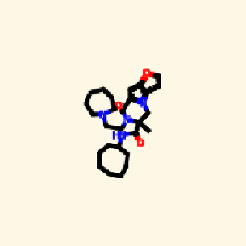 CC1(C(=O)NC2CCCCCCC2)Cn2c(cc3occc32)C(=O)N1CCN1CCCCCC1